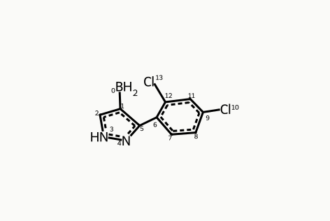 Bc1c[nH]nc1-c1ccc(Cl)cc1Cl